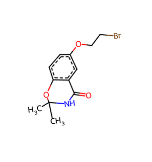 CC1(C)NC(=O)c2cc(OCCBr)ccc2O1